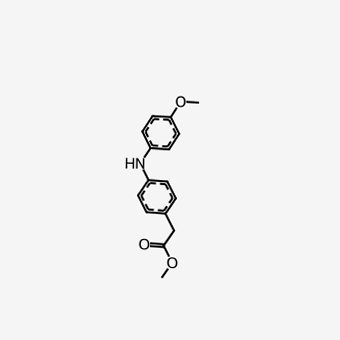 COC(=O)Cc1ccc(Nc2ccc(OC)cc2)cc1